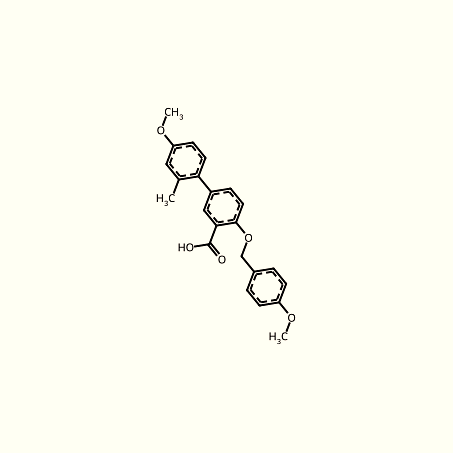 COc1ccc(COc2ccc(-c3ccc(OC)cc3C)cc2C(=O)O)cc1